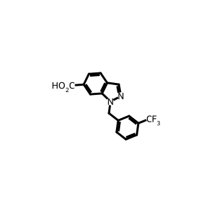 O=C(O)c1ccc2cnn(Cc3cccc(C(F)(F)F)c3)c2c1